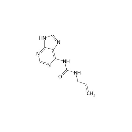 C=CCNC(=O)Nc1ncnc2[nH]cnc12